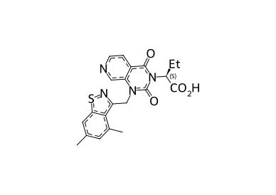 CC[C@@H](C(=O)O)n1c(=O)c2ccncc2n(Cc2nsc3cc(C)cc(C)c23)c1=O